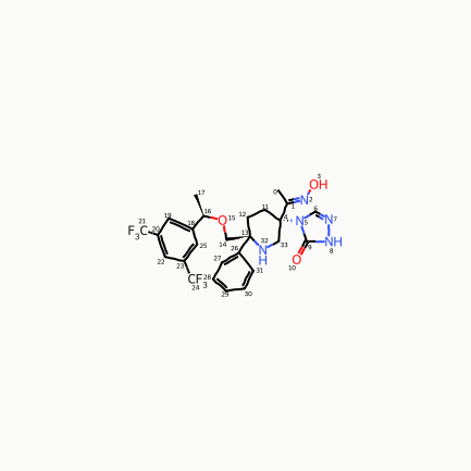 C/C(=N\O)[C@]1(n2cn[nH]c2=O)CC[C@@](CO[C@H](C)c2cc(C(F)(F)F)cc(C(F)(F)F)c2)(c2ccccc2)NC1